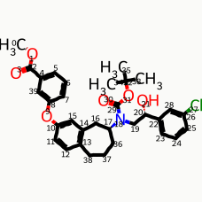 COC(=O)c1cccc(Oc2ccc3c(c2)C[C@@H](N(C[C@H](O)c2cccc(Cl)c2)C(=O)OC(C)(C)C)CCC3)c1